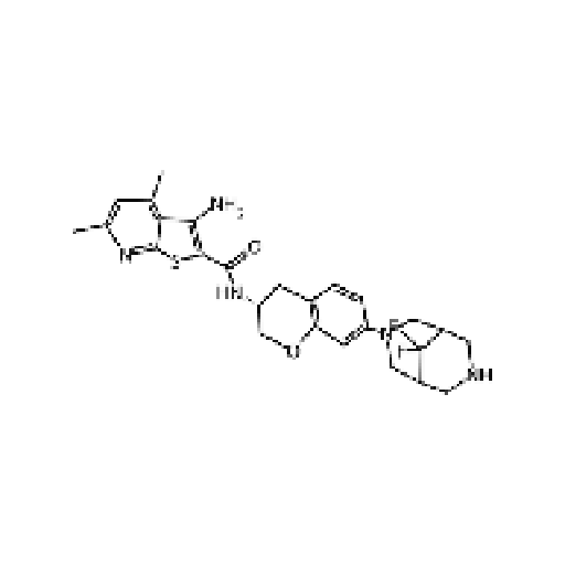 Cc1cc(C)c2c(N)c(C(=O)N[C@H]3COc4cc(N5CC6CNCC(C5)C6(F)F)ccc4C3)sc2n1